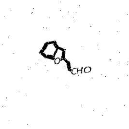 O=CC=Cc1cc2ccccc2o1